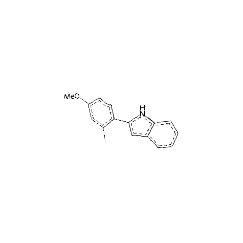 COc1ccc(-c2cc3ccccc3[nH]2)c(C)c1